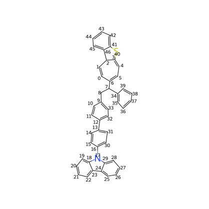 C1=CC2C(=CC=C1C(Cc1ccc(-c3ccc(-n4c5ccccc5c5ccccc54)cc3)cc1)c1ccccc1)Sc1ccccc12